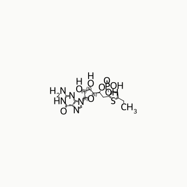 CCc1ccc(CC(OP(=O)(O)O)[C@H]2O[C@@H](n3cnc4c(=O)[nH]c(N)nc43)[C@H](O)[C@@H]2O)s1